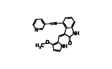 COc1cc[nH]c1C=C1C(=O)Nc2cccc(C#Cc3cccnc3)c21